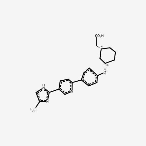 O=C(O)C[C@@H]1CCC[C@H](Oc2ccc(-c3ccc(-c4nc(C(F)(F)F)c[nH]4)cn3)cc2)C1